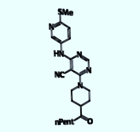 CCCCCC(=O)C1CCN(c2ncnc(Nc3ccc(SC)nc3)c2C#N)CC1